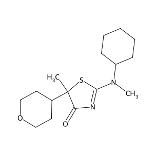 CN(C1=NC(=O)C(C)(C2CCOCC2)S1)C1CCCCC1